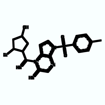 CCC1CC(O)CC1C(=N)n1c(=N)cnc2c1ccn2S(=O)(=O)c1ccc(C)cc1